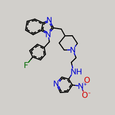 O=[N+]([O-])c1ccncc1NCCN1CCC(Cc2nc3ccccc3n2Cc2ccc(F)cc2)CC1